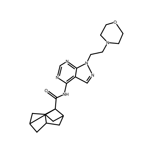 O=C(Nc1ncnc2c1cnn2CCN1CCOCC1)C12C3CC4CC1CC42C3